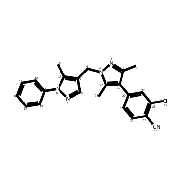 Cc1nn(Cc2cnn(-c3ccccc3)c2C)c(C)c1-c1ccc(C#N)c(Cl)c1